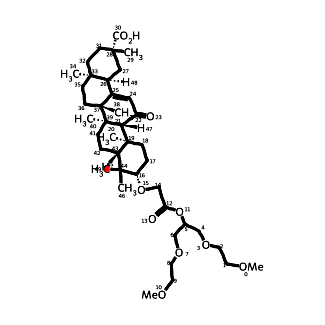 COCCOCC(COCCOC)OC(=O)CO[C@H]1CC[C@]2(C)[C@H]3C(=O)C=C4[C@@H]5C[C@@](C)(C(=O)O)CC[C@]5(C)CC[C@@]4(C)[C@]3(C)CC[C@H]2C1(C)C